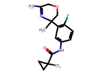 CC1(c2cc(NC(=O)C3(C(F)(F)F)CC3)ccc2F)COCC(N)=N1